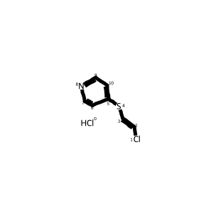 Cl.ClC=CSc1ccncc1